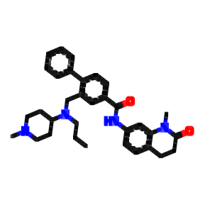 CCCN(Cc1cc(C(=O)Nc2ccc3c(c2)N(C)C(=O)CC3)ccc1-c1ccccc1)C1CCN(C)CC1